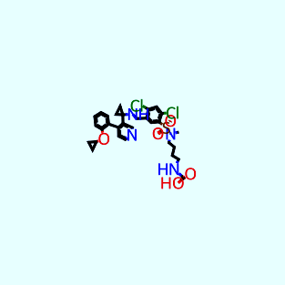 CN(CCCCNC(=O)O)S(=O)(=O)c1cc(CNC2(c3cnccc3-c3ccccc3OC3CC3)CC2)c(Cl)cc1Cl